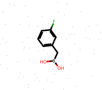 OB(O)Cc1cccc(F)c1